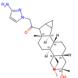 COC[C@]12CC[C@@](C)(O)C[C@H]1CC[C@@H]1[C@@H]2CC[C@]2(C)C(C(=O)Cn3ccc(N)n3)C3CC3[C@@H]12